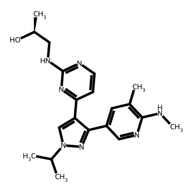 CNc1ncc(-c2nn(C(C)C)cc2-c2ccnc(NC[C@H](C)O)n2)cc1C